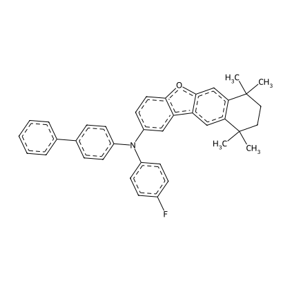 CC1(C)CCC(C)(C)c2cc3c(cc21)oc1ccc(N(c2ccc(F)cc2)c2ccc(-c4ccccc4)cc2)cc13